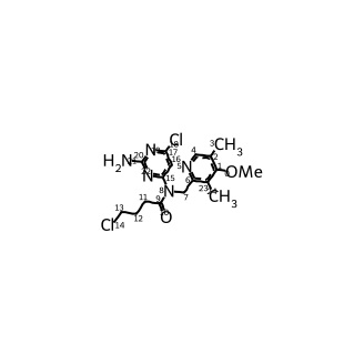 COc1c(C)cnc(CN(C(=O)CCCCl)c2cc(Cl)nc(N)n2)c1C